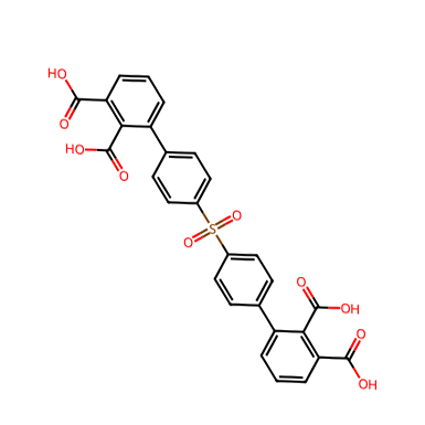 O=C(O)c1cccc(-c2ccc(S(=O)(=O)c3ccc(-c4cccc(C(=O)O)c4C(=O)O)cc3)cc2)c1C(=O)O